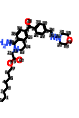 CCCCCCCCOC(=O)CN1CCc2cc(C(=O)c3ccc(C=NN4CCOCC4)cc3)ccc2C1N